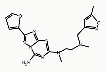 Cc1cc(CN(C)CCN(C)c2nc(N)n3nc(-c4ccco4)nc3n2)no1